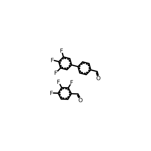 O=Cc1ccc(-c2cc(F)c(F)c(F)c2)cc1.O=Cc1ccc(F)c(F)c1F